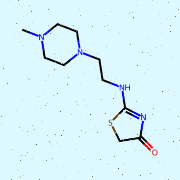 CN1CCN(CCNC2=NC(=O)CS2)CC1